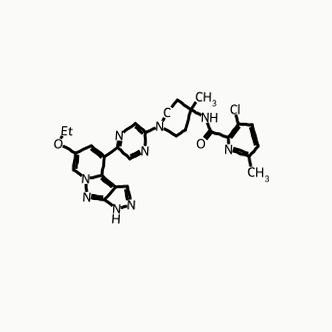 CCOc1cc(-c2cnc(N3CCC(C)(NC(=O)c4nc(C)ccc4Cl)CC3)cn2)c2c3cn[nH]c3nn2c1